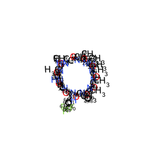 CCCC[C@H]1C(=O)N[C@H](C)CC(=O)N(C)[C@@H](CC(C)C)C(=O)N[C@@H]([C@@H](C)CC)C(=O)N(C)CC(=O)N(C)CC(=O)N(C)[C@@H](CC2CCCCC2)C(=O)N(C)CC(=O)N[C@@H](CCc2ccc(C(F)(F)F)c(F)c2)C(=O)N2CCC[C@H]2C(=O)NC2(CCCC2)C(=O)N1C